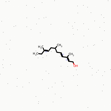 CC/C(C)=C/CC(C)C/C=C/C(C)=C/CO